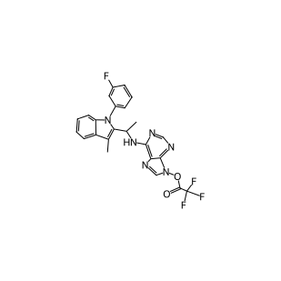 Cc1c(C(C)Nc2ncnc3c2ncn3OC(=O)C(F)(F)F)n(-c2cccc(F)c2)c2ccccc12